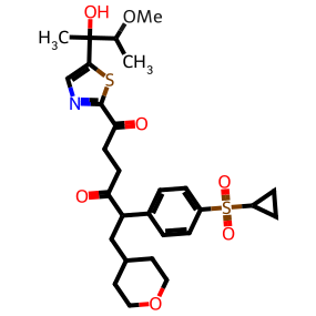 COC(C)C(C)(O)c1cnc(C(=O)CCC(=O)C(CC2CCOCC2)c2ccc(S(=O)(=O)C3CC3)cc2)s1